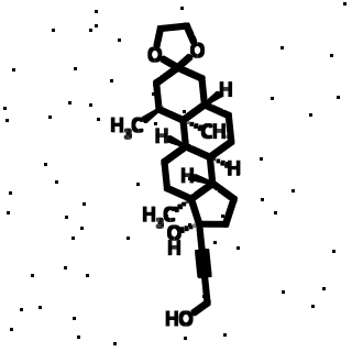 C[C@H]1CC2(C[C@@H]3CC[C@@H]4[C@H](CC[C@@]5(C)[C@H]4CC[C@@]5(O)C#CCO)[C@]31C)OCCO2